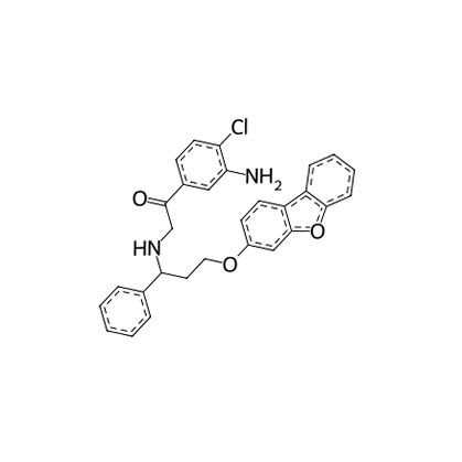 Nc1cc(C(=O)CNC(CCOc2ccc3c(c2)oc2ccccc23)c2ccccc2)ccc1Cl